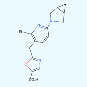 CCc1nc(N2CC3CC3C2)ccc1Cc1ncc(C(=O)O)o1